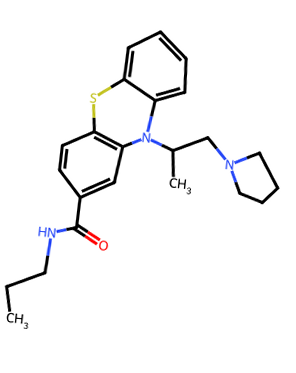 CCCNC(=O)c1ccc2c(c1)N(C(C)CN1CCCC1)c1ccccc1S2